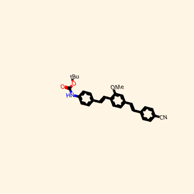 COc1cc(C=Cc2ccc(C#N)cc2)ccc1C=Cc1ccc(NC(=O)OC(C)(C)C)cc1